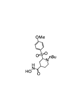 CCCCN1CCC(C(=O)NO)CC1S(=O)(=O)c1ccc(OC)cc1